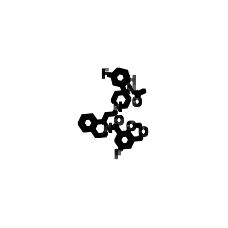 CC(=O)NC1(c2cccc(F)c2)CCN(CCC2c3ccccc3CCN2C(=O)c2cc(F)cc3c2OCOC3)CC1